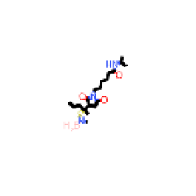 BN(C)SC(C)(CCC)C1CC(=O)N(CCCCCC(=O)NC(C)C)C1=O